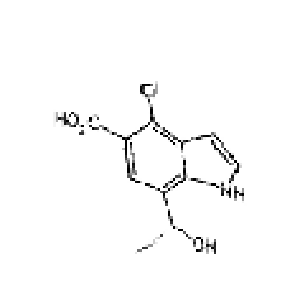 C[C@@H](O)c1cc(C(=O)O)c(Cl)c2cc[nH]c12